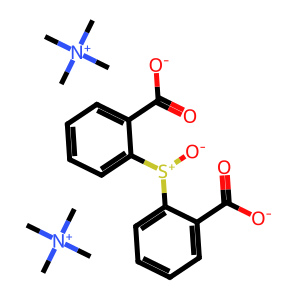 C[N+](C)(C)C.C[N+](C)(C)C.O=C([O-])c1ccccc1[S+]([O-])c1ccccc1C(=O)[O-]